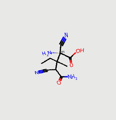 CCC(C)(C(C#N)C(N)=O)[C@@](N)(C#N)C(=O)O